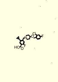 O=C(O)c1cc(C2CC2)c(CN2CCC(OCc3ccc(F)cc3Cl)CC2)cc1F